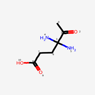 CC(=O)C(N)(N)CCC(=O)O